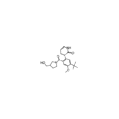 COc1cc(C(=O)N2CCC(CO)C2)c(-c2ccc[nH]c2=O)cc1C(C)(C)C